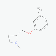 CN1CC[C@@H]1COc1cccc([N+](=O)[O-])c1